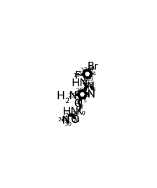 C[C@H](COc1cc2ncnc(Nc3ccc(Br)cc3F)c2cc1N)NC(=O)CN(C)C